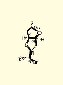 CC[C@@H](Br)[C@H]1C[C@@H]2O[C@@H](C)C[C@@H]2O1